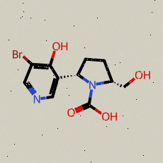 O=C(O)N1[C@@H](CO)CC[C@H]1c1cncc(Br)c1O